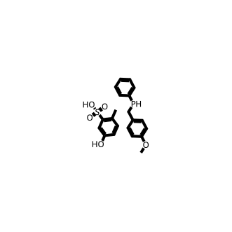 COc1ccc(CPc2ccccc2)cc1.Cc1ccc(O)cc1S(=O)(=O)O